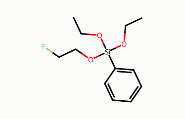 CCO[Si](OCC)(OCCF)c1ccccc1